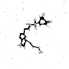 O=S(=O)(NCCc1ccc2[nH]cc(CCCO)c2c1)c1ccc(Cl)cc1